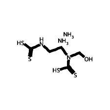 N.N.OCN(CCNC(=S)S)C(=S)S